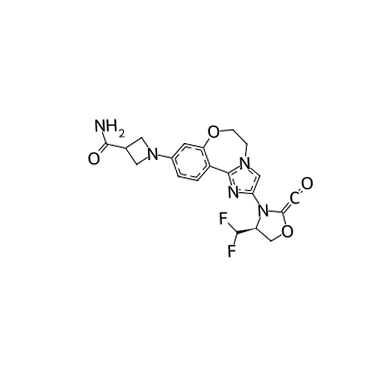 NC(=O)C1CN(c2ccc3c(c2)OCCn2cc(N4C(=C=O)OC[C@H]4C(F)F)nc2-3)C1